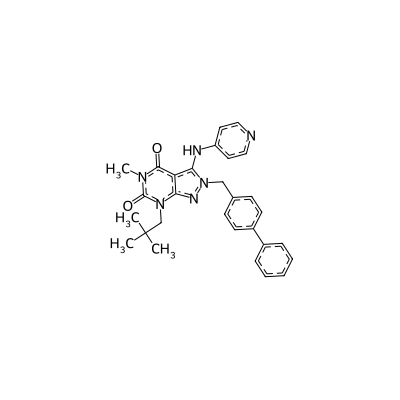 Cn1c(=O)c2c(Nc3ccncc3)n(Cc3ccc(-c4ccccc4)cc3)nc2n(CC(C)(C)C)c1=O